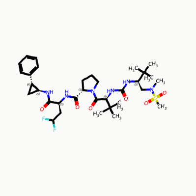 CN(C[C@@H](NC(=O)N[C@H](C(=O)N1CCC[C@H]1C(=O)N[C@@H](CC(F)F)C(=O)N[C@H]1C[C@@H]1c1ccccc1)C(C)(C)C)C(C)(C)C)S(C)(=O)=O